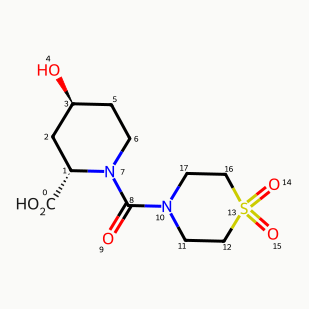 O=C(O)[C@@H]1C[C@@H](O)CCN1C(=O)N1CCS(=O)(=O)CC1